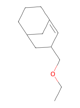 CCOCC1C=C2CCCC(C2)C1